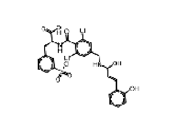 O=C(N[C@@H](Cc1cccc(S(=O)(=O)Cl)c1)C(=O)O)c1c(Cl)cc(CNC(O)/C=C/c2ccccc2O)cc1Cl